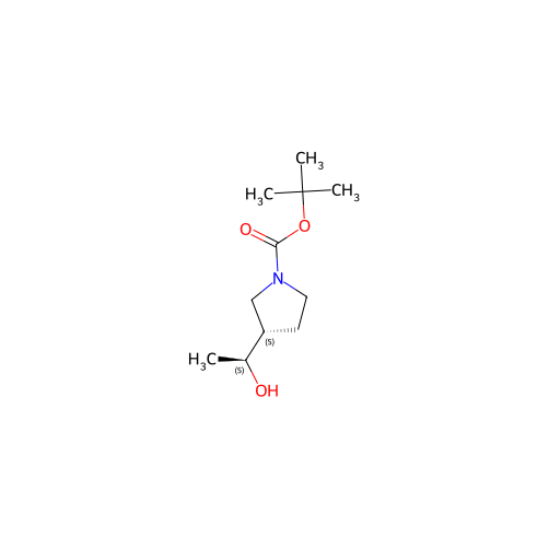 C[C@H](O)[C@H]1CCN(C(=O)OC(C)(C)C)C1